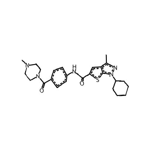 Cc1nn(C2CCCCC2)c2sc(C(=O)Nc3ccc(C(=O)N4CCN(C)CC4)cc3)cc12